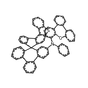 c1ccc(N(c2ccc3c(c2)C2(c4ccccc4-c4ccccc4-3)c3ccccc3-c3c2ccc2sc4ccccc4c32)c2cccc3c2Oc2ccccc2-c2ccccc2-3)cc1